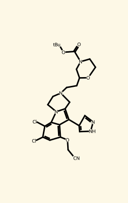 CC(C)(C)OC(=O)N1CCOC(CCN2CCn3c(c(-c4cn[nH]c4)c4c(OCC#N)cc(Cl)c(Cl)c43)C2)C1